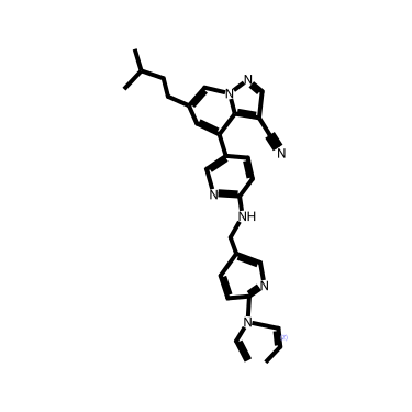 C=CN(/C=C\C)c1ccc(CNc2ccc(-c3cc(CCC(C)C)cn4ncc(C#N)c34)cn2)cn1